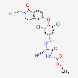 CCOC(=O)NC(=O)C(C#N)=NNc1cc(Cl)c(Oc2ccc3c(c2)CCN(CC)C3=O)c(Cl)c1